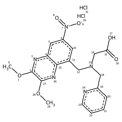 COc1nc2cc([N+](=O)[O-])cc(CN(CC(=O)O)Cc3ccccn3)c2nc1OC.Cl.Cl